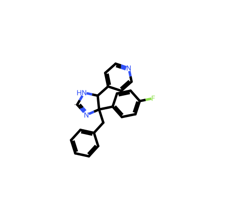 Fc1ccc(C2(Cc3ccccc3)N=[C]NC2c2ccncc2)cc1